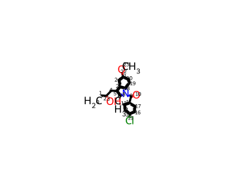 C=CC(O)Cc1c(C)n(C(=O)c2ccc(Cl)cc2)c2ccc(OC)cc12